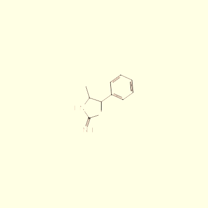 CC1NC(=N)SC1c1ccccc1